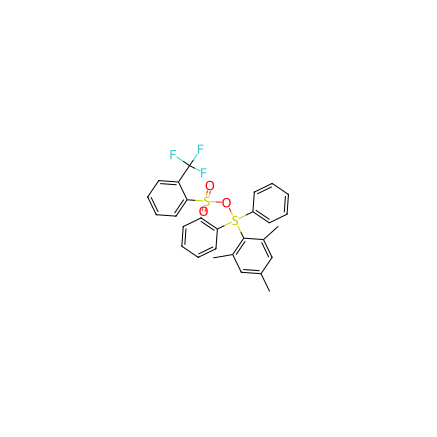 Cc1cc(C)c(S(OS(=O)(=O)c2ccccc2C(F)(F)F)(c2ccccc2)c2ccccc2)c(C)c1